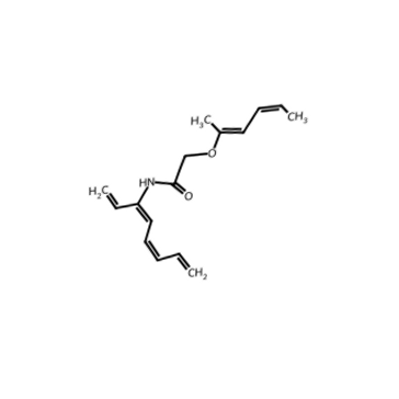 C=C/C=C\C=C(/C=C)NC(=O)CO/C(C)=C/C=C\C